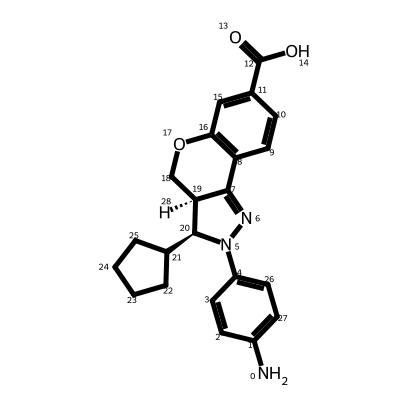 Nc1ccc(N2N=C3c4ccc(C(=O)O)cc4OC[C@@H]3[C@@H]2C2CCCC2)cc1